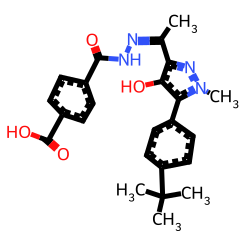 CC(=NNC(=O)c1ccc(C(=O)O)cc1)c1nn(C)c(-c2ccc(C(C)(C)C)cc2)c1O